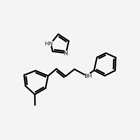 Cc1cccc(C=CCBc2ccccc2)c1.c1c[nH]cn1